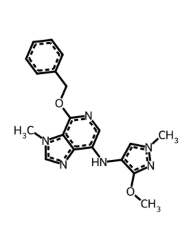 COc1nn(C)cc1Nc1cnc(OCc2ccccc2)c2c1ncn2C